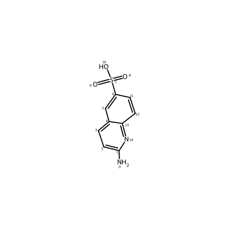 Nc1ccc2cc(S(=O)(=O)O)ccc2n1